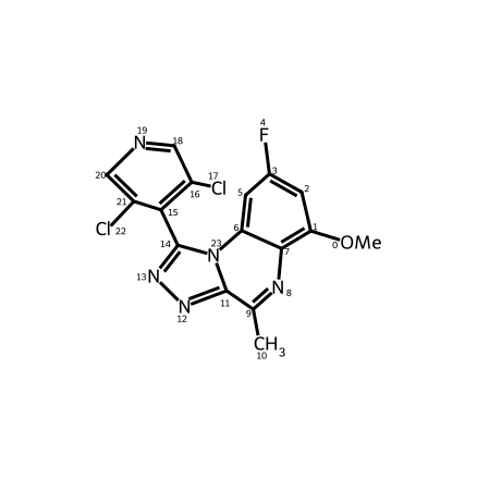 COc1cc(F)cc2c1nc(C)c1nnc(-c3c(Cl)cncc3Cl)n12